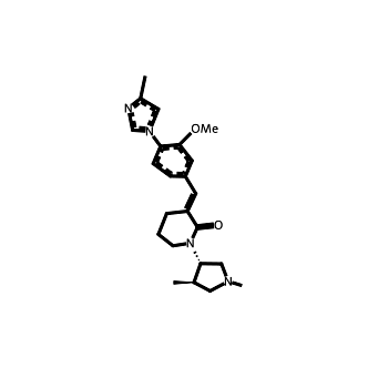 COc1cc(/C=C2\CCCN([C@@H]3CN(C)C[C@H]3C)C2=O)ccc1-n1cnc(C)c1